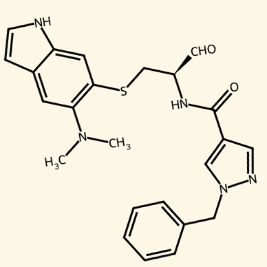 CN(C)c1cc2cc[nH]c2cc1SC[C@@H](C=O)NC(=O)c1cnn(Cc2ccccc2)c1